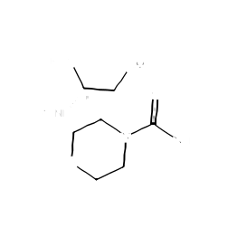 CSC[C@H](NC(C)=O)C(=O)O.NC(=O)N1CCOCC1